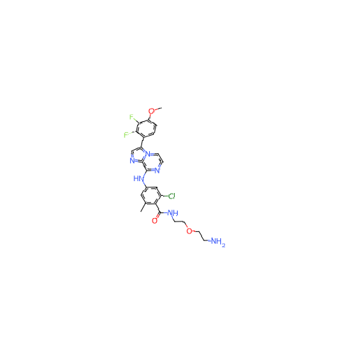 COc1ccc(-c2cnc3c(Nc4cc(C)c(C(=O)NCCOCCN)c(Cl)c4)nccn23)c(F)c1F